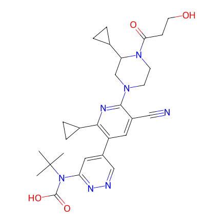 CC(C)(C)N(C(=O)O)c1cc(-c2cc(C#N)c(N3CCN(C(=O)CCO)C(C4CC4)C3)nc2C2CC2)cnn1